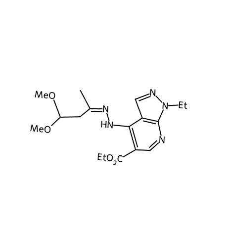 CCOC(=O)c1cnc2c(cnn2CC)c1NN=C(C)CC(OC)OC